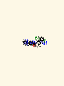 Cc1[nH]c2c(F)ccc(Br)c2c1CCNC(=O)c1ccc(-c2ncccn2)cc1